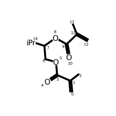 C=C(C)C(=O)OCC(OC(=O)C(=C)C)C(C)C